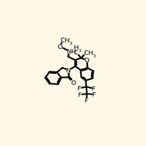 CONCC1=C(N2Cc3ccccc3C2=O)c2cc(C(F)(F)C(F)(F)F)ccc2OC1(C)C